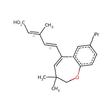 CC(/C=C/C1=CC(C)(C)COc2ccc(C(C)C)cc21)=C\C(=O)O